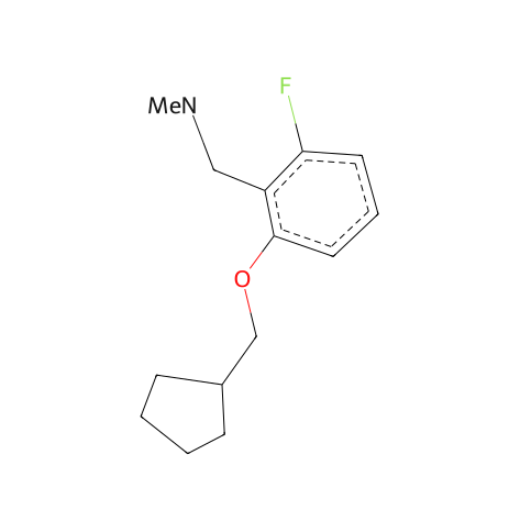 CNCc1c(F)cccc1OCC1CCCC1